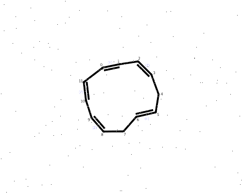 [C]1=C/C=C\C/C=C/C/C=C\C=C/1